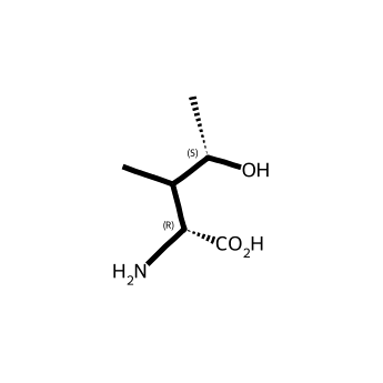 CC([C@H](C)O)[C@@H](N)C(=O)O